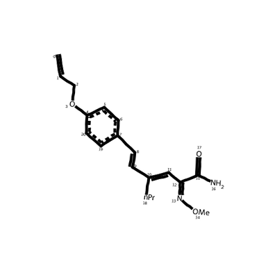 C=CCOc1ccc(C=CC(=CC(=NOC)C(N)=O)CCC)cc1